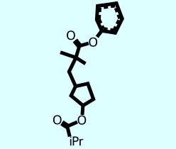 CC(C)C(=O)OC1CCC(CC(C)(C)C(=O)Oc2ccccc2)C1